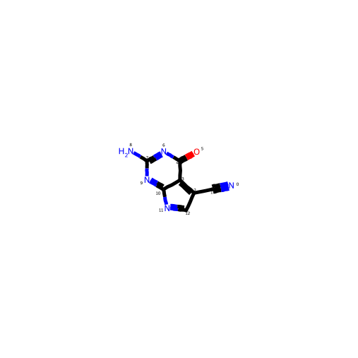 N#CC1=C2C(=O)N=C(N)N=C2N=C1